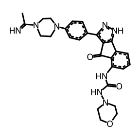 CC(=N)N1CCN(c2ccc(-c3n[nH]c4c3C(=O)c3c(NC(=O)NN5CCOCC5)cccc3-4)cc2)CC1